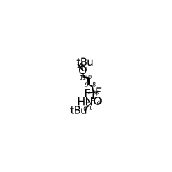 CC(C)(C)CNC(=O)C(F)(F)C/C=C/COCC(C)(C)C